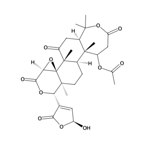 CC(=O)OC1CC(=O)OC(C)(C)[C@@H]2CC(=O)[C@]3(C)[C@H](CC[C@@]4(C)[C@H](C5=C[C@@H](O)OC5=O)OC(=O)[C@H]5O[C@]543)[C@@]12C